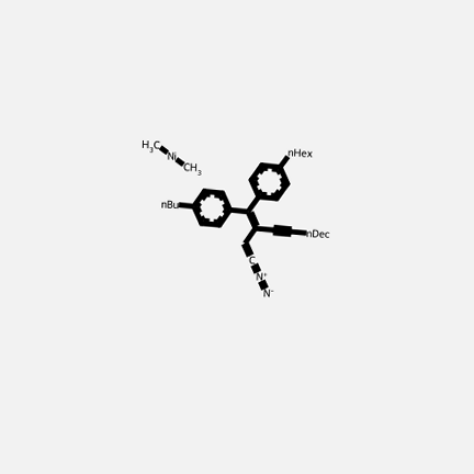 CCCCCCCCCCC#CC(C=C=[N+]=[N-])=C(c1ccc(CCCC)cc1)c1ccc(CCCCCC)cc1.[CH3][Ni][CH3]